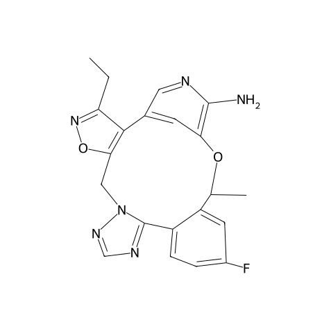 CCc1noc2c1-c1cnc(N)c(c1)OC(C)c1cc(F)ccc1-c1ncnn1C2